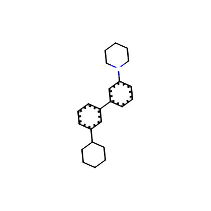 c1cc(-c2cccc(N3CCCCC3)c2)cc(C2CCCCC2)c1